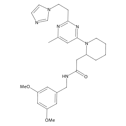 COc1cc(CNC(=O)CC2CCCCN2c2cc(C)nc(CCn3ccnc3)n2)cc(OC)c1